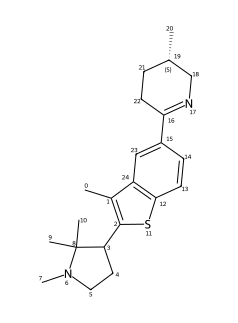 Cc1c(C2CCN(C)C2(C)C)sc2ccc(C3=NC[C@@H](C)CC3)cc12